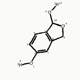 [2H]Oc1ccc2c(c1)COC2O[2H]